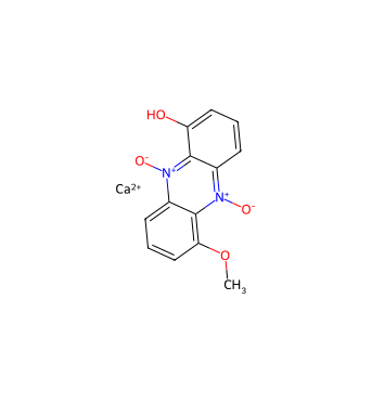 COc1cccc2c1[n+]([O-])c1cccc(O)c1[n+]2[O-].[Ca+2]